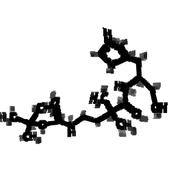 CC(C)(C)OC(=O)NCCC(C)(C)C(=O)N[C@H](CO)Cc1c[nH]cn1